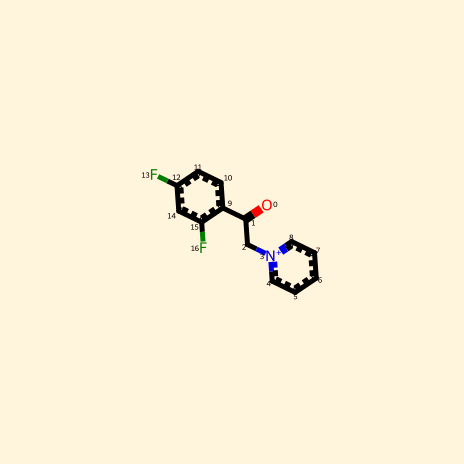 O=C(C[n+]1ccccc1)c1ccc(F)cc1F